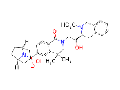 CC1(C)CN(CC(O)[C@@H]2Cc3ccccc3CN2C(=O)O)C(=O)c2ccc(C(=O)N3[C@@H]4CC[C@H]3C[C@@H](O)C4)cc21